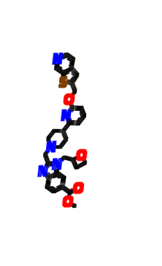 COC(=O)c1ccc2nc(CN3CCC(c4cccc(OCc5cc6ccncc6s5)n4)CC3)n(CC3CCO3)c2c1